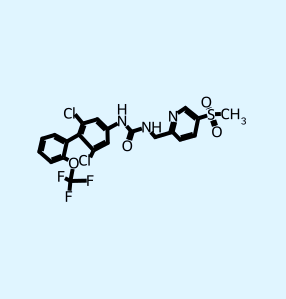 CS(=O)(=O)c1ccc(CNC(=O)Nc2cc(Cl)c(-c3ccccc3OC(F)(F)F)c(Cl)c2)nc1